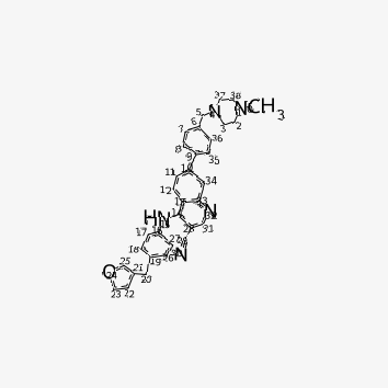 CN1CCN(Cc2ccc(-c3ccc4c(Nc5ccc(Cc6ccoc6)cc5)c(C#N)cnc4c3)cc2)CC1